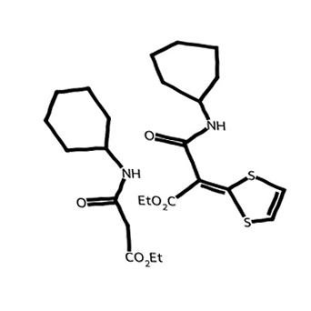 CCOC(=O)C(C(=O)NC1CCCCC1)=C1SC=CS1.CCOC(=O)CC(=O)NC1CCCCC1